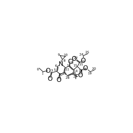 CCOC(=O)c1cn(C2CC2)c2c(Cl)c(C(C(=O)OCC)C(=O)OCC)c(F)cc2c1=O